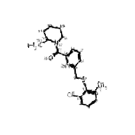 Cc1cccc(Cl)c1SCc1cccc(C(=O)N2CCCCC2C)n1